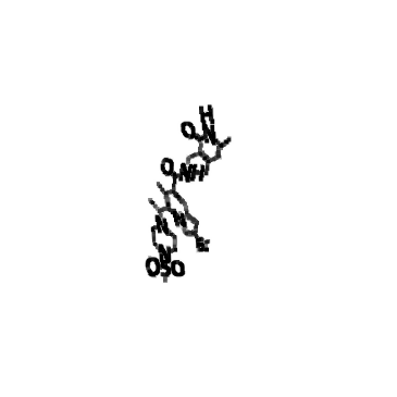 Cc1cc(C)c(CNC(=O)c2cc3cc(Br)cn3c(C(C)N3CCN(S(C)(=O)=O)CC3)c2C)c(=O)[nH]1